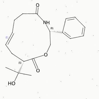 CC(C)(O)[C@@H]1C/C=C/CCC(=O)N[C@H](c2ccccc2)COC1=O